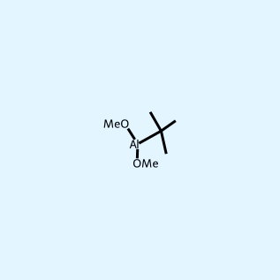 C[O][Al]([O]C)[C](C)(C)C